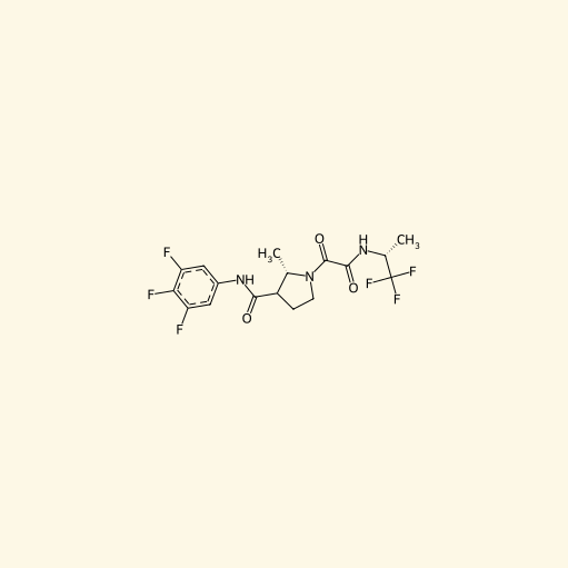 C[C@H]1C(C(=O)Nc2cc(F)c(F)c(F)c2)CCN1C(=O)C(=O)N[C@H](C)C(F)(F)F